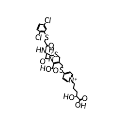 O=C(CSc1cc(Cl)ccc1Cl)N[C@H]1C(=O)N2C(C(=O)O)=C(CSc3cc[n+](CCC[C@H](O)C(=O)O)cc3)CS[C@H]12